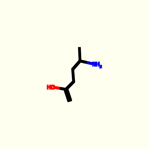 C=C(O)CCC(C)N